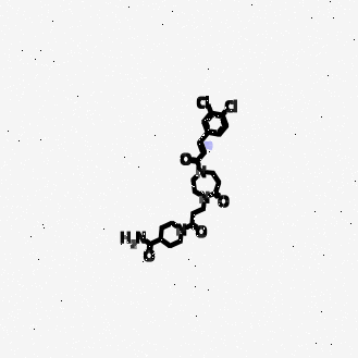 NC(=O)C1CCN(C(=O)CCN2CCN(C(=O)/C=C/c3ccc(Cl)c(Cl)c3)CCC2=O)CC1